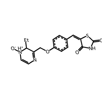 CCC1C(COc2ccc(C=C3SC(=O)NC3=O)cc2)=NC=C[NH+]1[O-]